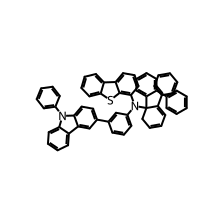 C1=CCC(c2ccccc2-c2ccccc2)(N(c2cccc(-c3ccc4c(c3)c3ccccc3n4-c3ccccc3)c2)c2cccc3c2sc2ccccc23)C(c2ccccc2)=C1